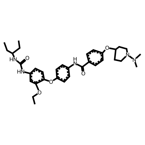 CCOc1cc(NC(=O)NC(CC)CC)ccc1Oc1ccc(NC(=O)c2ccc(OC3CCN(N(C)C)CC3)cc2)cc1